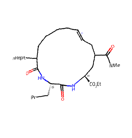 CCCCCCCC1CCCC/C=C/CC(C(=O)NC)C[C@@H](C(=O)OCC)NC(=O)[C@H](CC(C)C)NC1=O